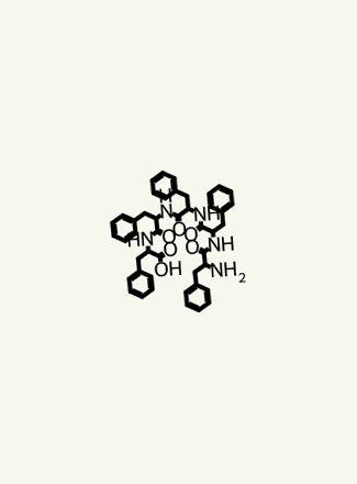 NC(Cc1ccccc1)C(=O)NC(Cc1ccccc1)C(=O)NC(Cc1ccccc1)C(=O)NC(Cc1ccccc1)C(=O)NC(Cc1ccccc1)C(=O)O